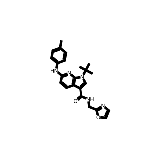 Cc1ccc(Nc2ccc3c(C(=O)NCc4ncco4)cn(C(C)(C)C)c3n2)cc1